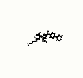 CNCCNc1ncc(C)c(-n2nc(Nc3ccc(N4CCOCC4)cc3)nc2N)n1